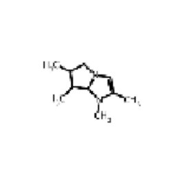 CC1=CN2CC(C)C(C)C2N1C